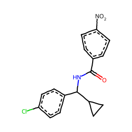 O=C(NC(c1ccc(Cl)cc1)C1CC1)c1ccc([N+](=O)[O-])cc1